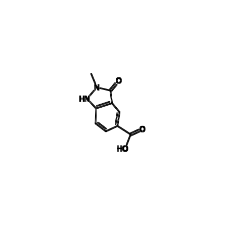 Cn1[nH]c2ccc(C(=O)O)cc2c1=O